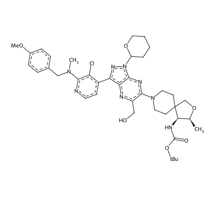 COc1ccc(CN(C)c2nccc(-c3nn(C4CCCCO4)c4nc(N5CCC6(CC5)CO[C@@H](C)[C@H]6NC(=O)OC(C)(C)C)c(CO)nc34)c2Cl)cc1